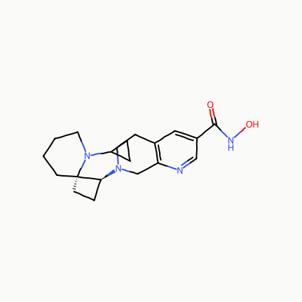 O=C(NO)c1cnc2c(c1)CCN([C@H]1CC[C@@]13CCCCN3C1CC1)C2